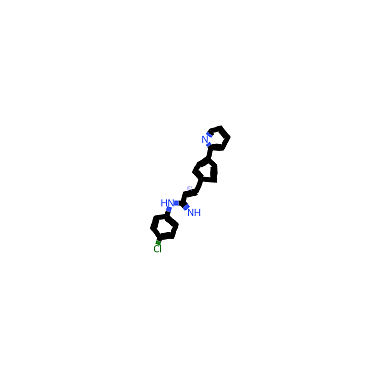 N=C(/C=C/c1ccc(-c2ccccn2)cc1)Nc1ccc(Cl)cc1